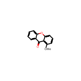 COc1cccc2oc3ccccc3c(=O)c12